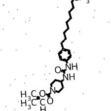 CCCCCCCCCCc1ccc(NC(=O)NC2CCN(C(=O)OC(C)(C)C)CC2)cc1